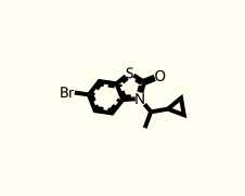 CC(C1CC1)n1c(=O)sc2cc(Br)ccc21